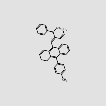 C/C=C\C(=C/c1c2c(c(-c3ccc(C)cc3)c3ccccc13)CCC=C2)N(C)c1ccccc1